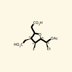 CC[C@H](OC(C)=O)[C@H]1OC(CC(=O)O)[C@H](CC(=O)O)[C@@H]1F